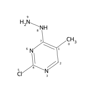 Cc1cnc(Cl)nc1NN